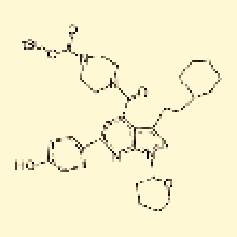 CC(C)(C)OC(=O)N1CCN(C(=O)c2cc(-c3ccc(O)cc3)nc3c2c(CCC2CCCCC2)nn3C2CCCCO2)CC1